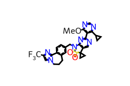 COc1ncnc(C2CC2)c1-c1ncc2c(n1)N(Cc1ccc3c(c1)CCCn1cc(C(F)(F)F)nc1-3)S(=O)(=O)C21CC1